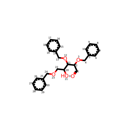 O=CC(OCc1ccccc1)C(OCc1ccccc1)C(O)COCc1ccccc1